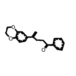 C=C(CCC(=O)c1ccccc1)c1ccc2c(c1)OCCO2